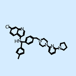 Cc1ccc(C(Nc2ccnc3cc(Cl)ccc23)c2ccc(CN3CCN(c4cccc(N5CCCC5)n4)CC3)cc2)cc1